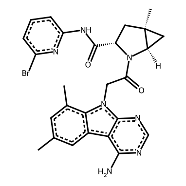 Cc1cc(C)c2c(c1)c1c(N)ncnc1n2CC(=O)N1[C@H](C(=O)Nc2cccc(Br)n2)C[C@@]2(C)C[C@@H]12